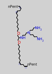 CCCCC/C=C\C/C=C\CCCCCCCCOCC(COCCCCCCCC/C=C\C/C=C\CCCCC)NCCCN(CCCN)CCCCN